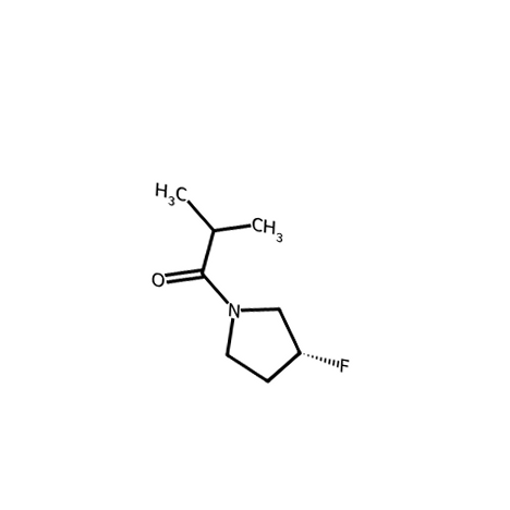 CC(C)C(=O)N1CC[C@@H](F)C1